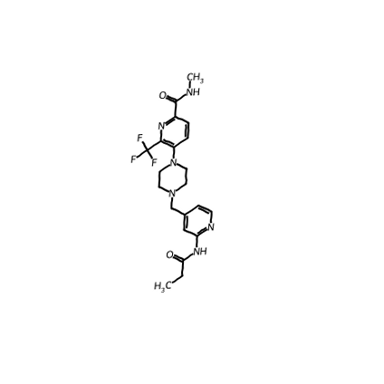 CCC(=O)Nc1cc(CN2CCN(c3ccc(C(=O)NC)nc3C(F)(F)F)CC2)ccn1